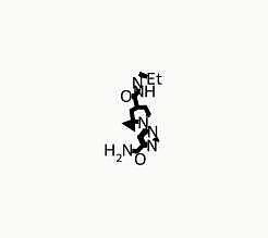 CC/C=N\NC(=O)C1CCN(c2cc(C(N)=O)ncn2)C2(CC2)C1